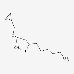 CCCCCCC(F)CC(C)OCC1CO1